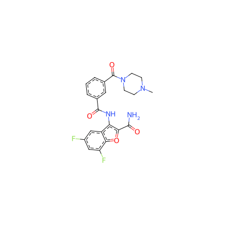 CN1CCN(C(=O)c2cccc(C(=O)Nc3c(C(N)=O)oc4c(F)cc(F)cc34)c2)CC1